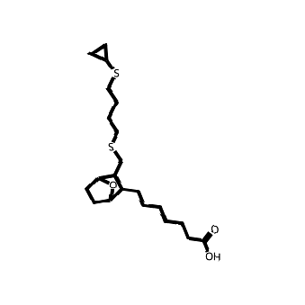 O=C(O)CCCCCCC1C2CCC(O2)C1CSCCCCSC1CC1